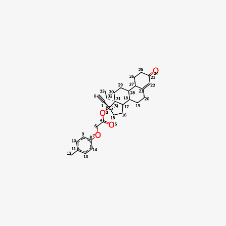 C#C[C@]1(OC(=O)COc2ccc(C)cc2)CCC2C3CCC4=CC(=O)CCC4C3CC[C@@]21CC